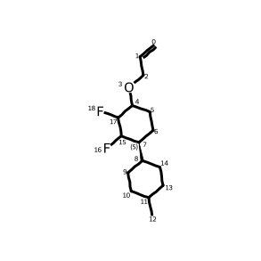 C=CCOC1CC[C@@H](C2CCC(C)CC2)C(F)C1F